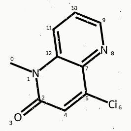 Cn1c(=O)cc(Cl)c2ncccc21